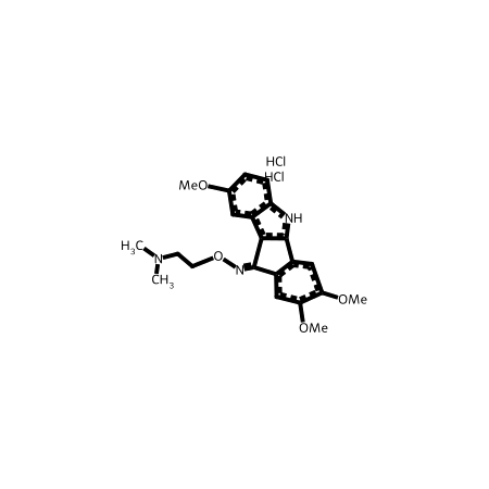 COc1ccc2[nH]c3c(c2c1)/C(=N\OCCN(C)C)c1cc(OC)c(OC)cc1-3.Cl.Cl